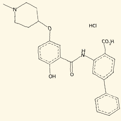 CN1CCC(Oc2ccc(O)c(C(=O)Nc3cc(-c4ccccc4)ccc3C(=O)O)c2)CC1.Cl